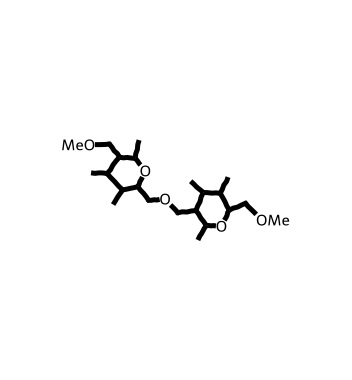 COCC1OC(C)C(COCC2OC(C)C(COC)C(C)C2C)C(C)C1C